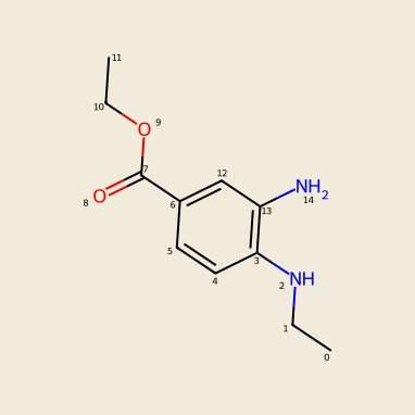 CCNc1ccc(C(=O)OCC)cc1N